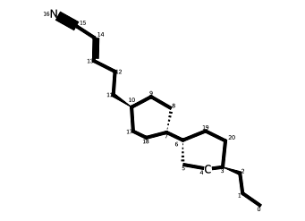 CCC[C@H]1CC[C@H]([C@H]2CC[C@H](CCC=CC#N)CC2)CC1